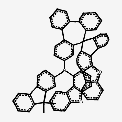 CC1(C)c2ccccc2-c2ccc(N(c3ccc4c(c3)C3(c5ccccc5-c5ccccc5-4)c4ccccc4-c4c3ccc3c4oc4ccccc43)c3cccc4oc5ccccc5c34)cc21